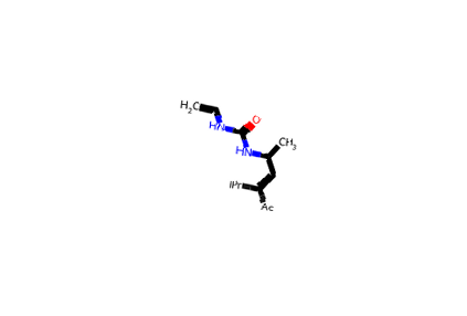 C=CNC(=O)NC(C)/C=C(/C(C)=O)C(C)C